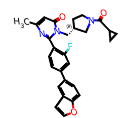 Cc1cc(=O)n(C[C@@H]2CCN(C(=O)C3CC3)C2)c(-c2ccc(-c3ccc4occc4c3)cc2F)n1